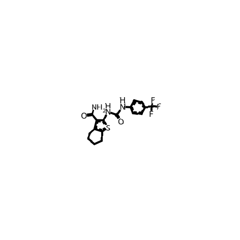 NC(=O)c1c(NC(=O)Nc2ccc(C(F)(F)F)cc2)sc2c1CCCC2